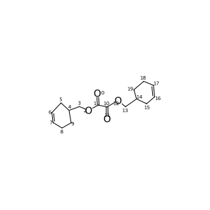 O=C(OCC1CC=CCC1)C(=O)OCC1CC=CCC1